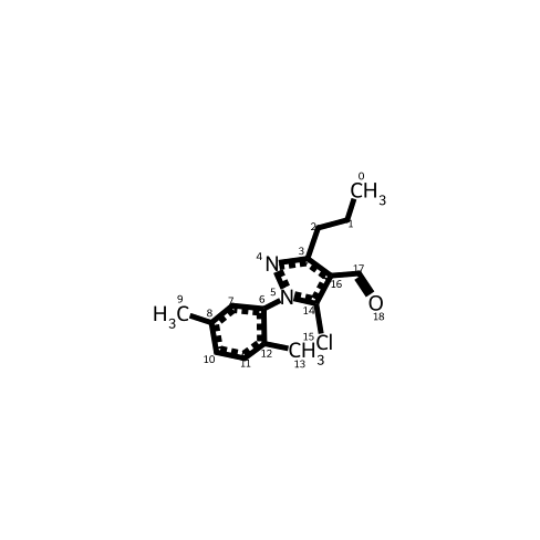 CCCc1nn(-c2cc(C)ccc2C)c(Cl)c1C=O